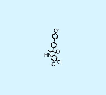 COc1ccc(-c2ccc(-c3c(C)[nH]c4cc(OC)c(Cl)cc4c3=O)cc2)cc1